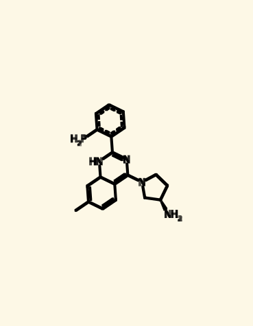 CC1=CC2NC(c3ccccc3P)=NC(N3CC[C@@H](N)C3)=C2C=C1